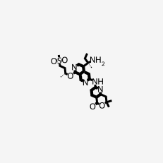 CC[C@@](C)(N)c1cnc(O[C@H](C)CCS(C)(=O)=O)c2cnc(Nc3ccc4c(n3)CC(C)(C)OC4=O)cc12